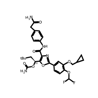 CC(C)(C)C[C@H](OC(N)=O)c1oc(-c2ccc(OC(F)F)c(OCC3CC3)c2)nc1C(=O)Nc1ccc(CC(N)=O)cc1